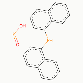 O=PO.c1ccc2c(Pc3cccc4ccccc34)cccc2c1